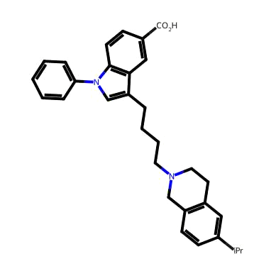 CC(C)c1ccc2c(c1)CCN(CCCCc1cn(-c3ccccc3)c3ccc(C(=O)O)cc13)C2